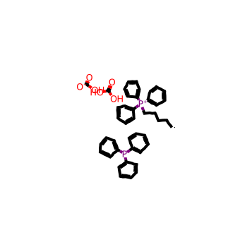 O=C(O)O.O=C([O-])O.[CH2]CCCC[P+](c1ccccc1)(c1ccccc1)c1ccccc1.c1ccc(P(c2ccccc2)c2ccccc2)cc1